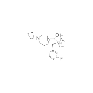 O=C(N1CCCN(C2CCC2)CC1)[C@@]1(Cc2cccc(F)c2)CCCN1